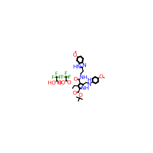 CCc1c(C(=O)OC(C)(C)C)[nH]c(CNc2ccc(OC)cc2)c1C(=O)NCCc1nc2ccc(OC)cc2[nH]1.O=C(O)C(F)(F)F.O=C(O)C(F)(F)F